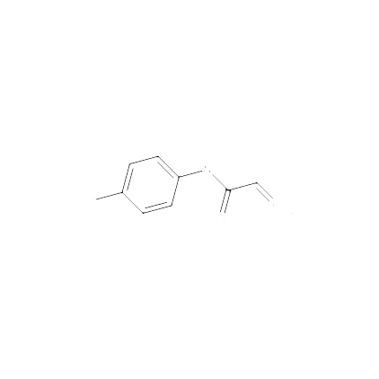 C=CC(=O)Nc1ccc(Cl)cc1